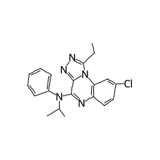 CCc1nnc2c(N(c3ccccc3)C(C)C)nc3ccc(Cl)cc3n12